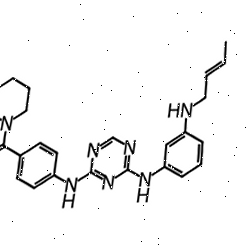 C/C=C/CNc1cccc(Nc2ncnc(Nc3ccc(C(=O)N4CCCCC4)cc3)n2)c1